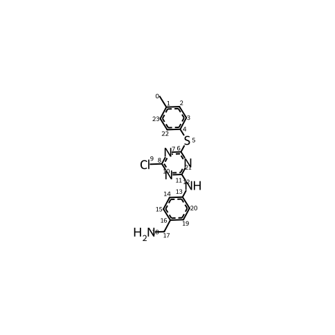 Cc1ccc(Sc2nc(Cl)nc(Nc3ccc(CN)cc3)n2)cc1